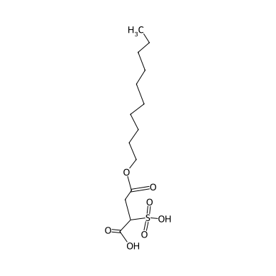 CCCCCCCCCCOC(=O)CC(C(=O)O)S(=O)(=O)O